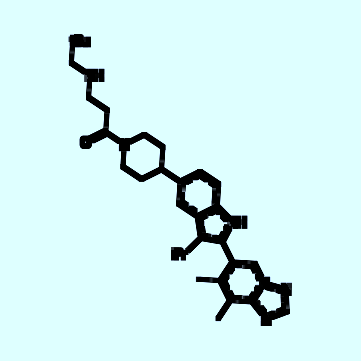 Cc1c(-c2[nH]c3ccc(C4CCN(C(=O)CCNCC(C)(C)C)CC4)cc3c2C(C)C)cn2ncnc2c1C